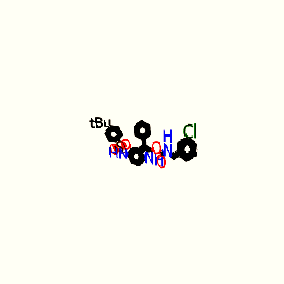 CC(C)(C)c1ccc(S(=O)(=O)Nc2ccc3[nH]c(OC(=O)NCc4cccc(Cl)c4)c(-c4ccccc4)c3c2)cc1